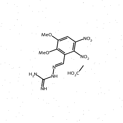 CC(=O)O.COc1cc([N+](=O)[O-])c([N+](=O)[O-])c(C=NNC(=N)N)c1OC